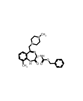 Cc1cccc2c1NC(=O)[C@@H](NC(=O)OCc1ccccc1)N=C2CN1CCN(C)CC1